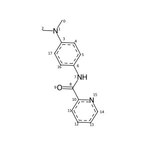 CN(C)c1ccc(NC(=O)c2ccccn2)cc1